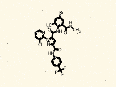 CNC(=O)c1cc(Br)cc(C)c1NC(=O)c1cc(C(=O)Nc2ccc(C(F)(F)F)cc2)nn1-c1ncccc1Cl